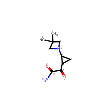 CC1(C#N)CN(C2CC2C(=O)C(N)=O)C1